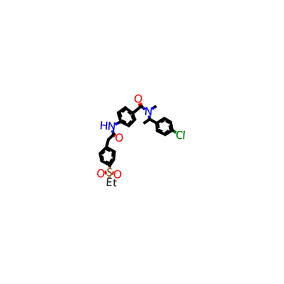 CCS(=O)(=O)c1ccc(CC(=O)Nc2ccc(C(=O)N(C)C(C)c3ccc(Cl)cc3)cc2)cc1